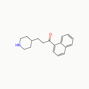 O=C(CCC1CCNCC1)c1cccc2ccccc12